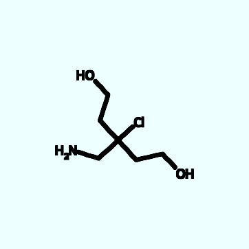 NCC(Cl)(CCO)CCO